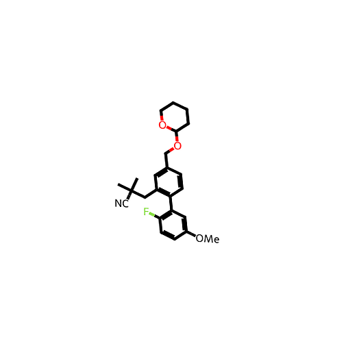 COc1ccc(F)c(-c2ccc(COC3CCCCO3)cc2CC(C)(C)C#N)c1